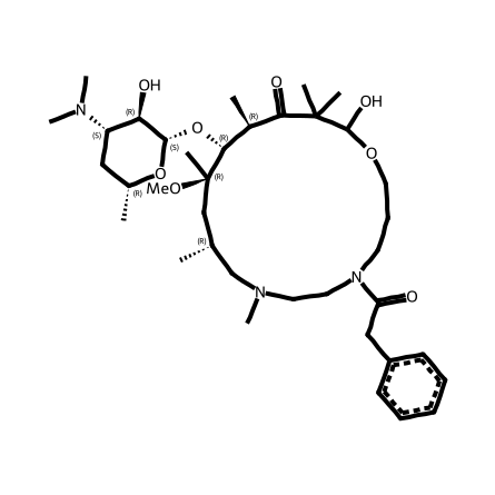 CO[C@]1(C)C[C@@H](C)CN(C)CCN(C(=O)Cc2ccccc2)CCCOC(O)C(C)(C)C(=O)[C@H](C)[C@H]1O[C@@H]1O[C@H](C)C[C@H](N(C)C)[C@H]1O